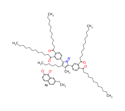 CCCCCCCCCCCC(=O)c1ccc(C2=C(C)C(CCCCCC)=C(c3ccc(C(=O)CCCCCCCCCCC)c(C(=O)CCCCCCCCCCC)c3)[N+]2=[N-])cc1C(=O)CCCCCCCCCCC.CCc1ccc2ccc([O-])c([O-])c2c1.[Ni]